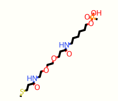 CSCCC(=O)NCCOCCOCCC(=O)NCCCCCCOP(C)(=O)O